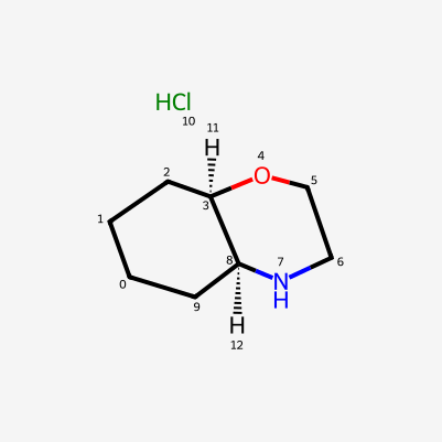 C1CC[C@H]2OCCN[C@H]2C1.Cl